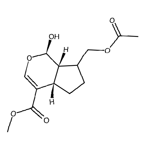 COC(=O)C1=CO[C@@H](O)[C@@H]2C(COC(C)=O)CC[C@H]12